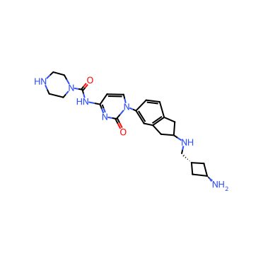 N[C@H]1C[C@H](CNC2Cc3ccc(-n4ccc(NC(=O)N5CCNCC5)nc4=O)cc3C2)C1